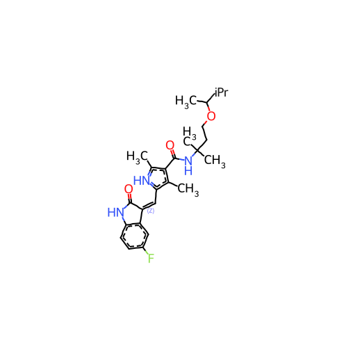 Cc1[nH]c(/C=C2\C(=O)Nc3ccc(F)cc32)c(C)c1C(=O)NC(C)(C)CCOC(C)C(C)C